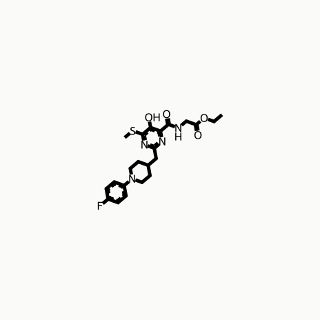 CCOC(=O)CNC(=O)c1nc(CC2CCN(c3ccc(F)cc3)CC2)nc(SC)c1O